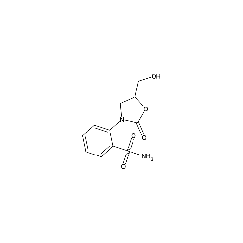 NS(=O)(=O)c1ccccc1N1CC(CO)OC1=O